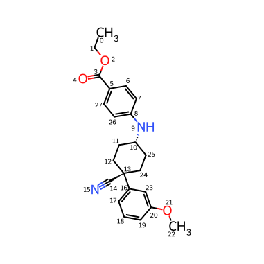 CCOC(=O)c1ccc(N[C@H]2CC[C@@](C#N)(c3cccc(OC)c3)CC2)cc1